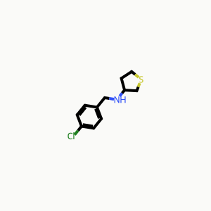 Clc1ccc(CNC2CCSC2)cc1